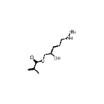 C=C(C)C(=O)OCC(O)CCCNC(C)(C)C